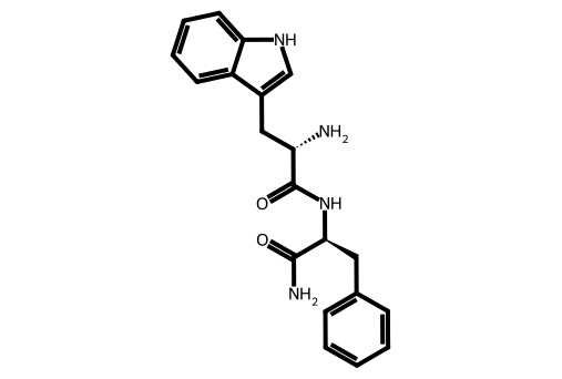 NC(=O)[C@H](Cc1ccccc1)NC(=O)[C@@H](N)Cc1c[nH]c2ccccc12